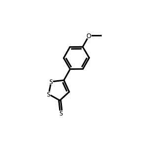 COc1ccc(-c2cc(=S)ss2)cc1